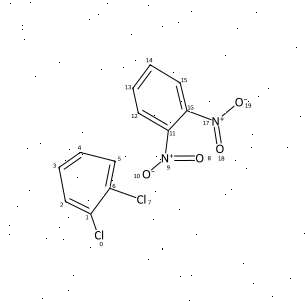 Clc1ccccc1Cl.O=[N+]([O-])c1ccccc1[N+](=O)[O-]